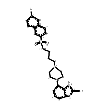 O=c1[nH]c2c(N3CCN(CCCNS(=O)(=O)c4ccc5cc(Cl)ccc5c4)CC3)cccc2o1